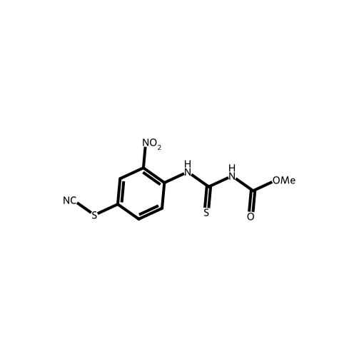 COC(=O)NC(=S)Nc1ccc(SC#N)cc1[N+](=O)[O-]